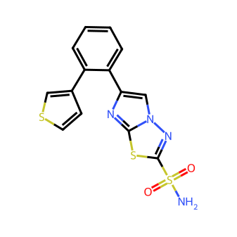 NS(=O)(=O)c1nn2cc(-c3ccccc3-c3ccsc3)nc2s1